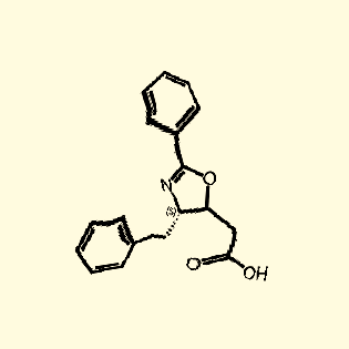 O=C(O)CC1OC(c2ccccc2)=N[C@H]1Cc1ccccc1